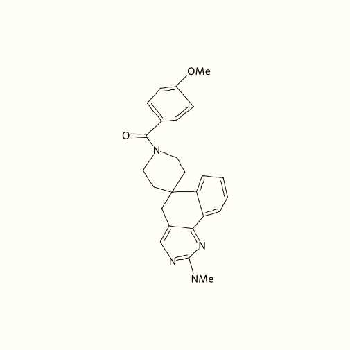 CNc1ncc2c(n1)-c1ccccc1C1(CCN(C(=O)c3ccc(OC)cc3)CC1)C2